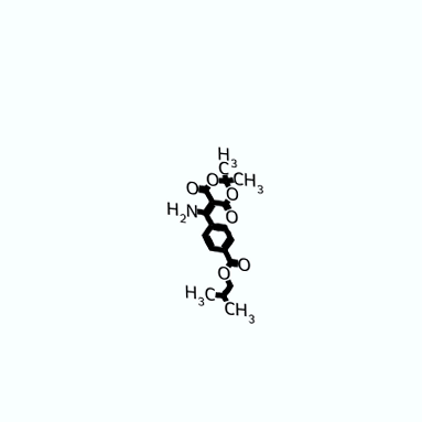 CC(C)COC(=O)c1ccc(C(N)=C2C(=O)OC(C)(C)OC2=O)cc1